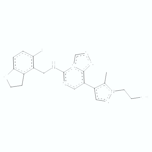 Cc1c(-c2cnc(NCc3c(F)ccc4c3CCO4)n3cnnc23)cnn1CCO